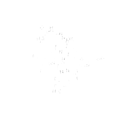 CC1Cc2c(C(F)F)nn(CC(=O)NC(Cc3cc(F)cc(F)c3)c3nc4cc(OCCN5CC[S+]([O-])CC5)ccc4c(=O)n3-c3ccc(Cl)c4c(N[S+](C)[O-])nn(C)c34)c2C1(F)F